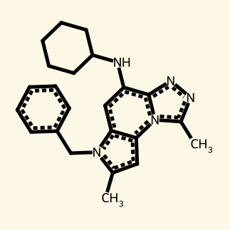 Cc1cc2c(cc(NC3CCCCC3)c3nnc(C)n32)n1Cc1ccccc1